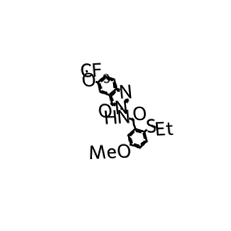 CCSc1ccc(OC)cc1C(=O)Nn1cnc2ccc(OC(F)(F)F)cc2c1=O